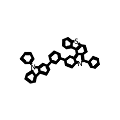 C1=CC(c2cccc(-c3ccc4c5ccccc5n(-c5ccccc5)c4c3)c2)Cc2c1nc(-c1ccccc1)c1ccc3sc4ccccc4c3c21